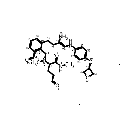 CNC(=O)C(CCC=O)N(C)Cc1c(C=O)cccc1CC/C(N)=C/Nc1ccc(OC2COC2)cc1